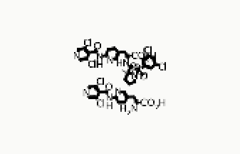 C[C@@]1(C(=O)N[C@@H](Cc2ccc(NC(=O)c3c(Cl)cncc3Cl)nc2)C(=O)O)CCCN1S(=O)(=O)c1cc(Cl)cc(Cl)c1.N[C@@H](Cc1ccc(NC(=O)c2c(Cl)cncc2Cl)nc1)C(=O)O